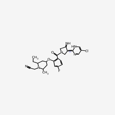 CCC1CC(Oc2cc(F)ccc2C(=O)N2CC(=N)/C(=C3/N=CC(Cl)=CN3)C2)CC(C)N1CC#N